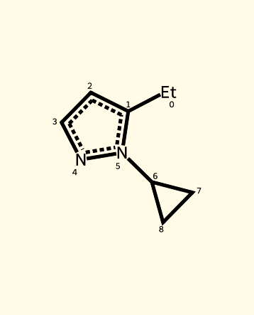 CCc1ccnn1C1CC1